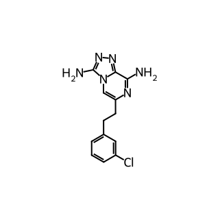 Nc1nc(CCc2cccc(Cl)c2)cn2c(N)nnc12